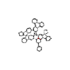 c1ccc(-c2cccc(-c3cc4c(cc3N(c3ccc5c(c3)C3(CCCC3)c3ccccc3-5)c3ccc5c6ccccc6c6ccccc6c5c3)C3(c5ccccc5-c5ccccc53)c3ccccc3-4)c2)cc1